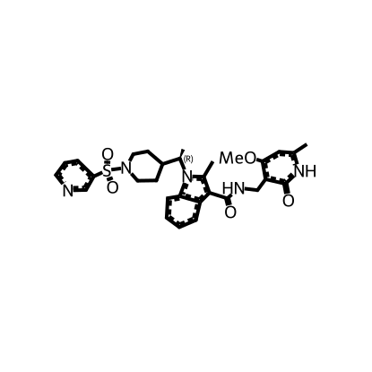 COc1cc(C)[nH]c(=O)c1CNC(=O)c1c(C)n([C@H](C)C2CCN(S(=O)(=O)c3cccnc3)CC2)c2ccccc12